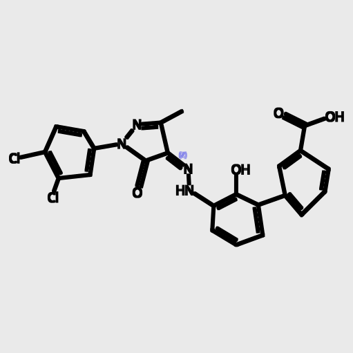 CC1=NN(c2ccc(Cl)c(Cl)c2)C(=O)/C1=N\Nc1cccc(-c2cccc(C(=O)O)c2)c1O